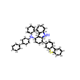 c1ccc(-c2ccc(N(c3ccccc3)c3ccc(-c4ccc5c(c4)sc4ccccc45)c4[nH]c5ccccc5c34)cc2)cc1